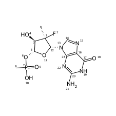 C[C@@]1(F)[C@H](O)[C@@H](OP(C)(=O)O)O[C@H]1n1cnc2c(=O)[nH]c(N)nc21